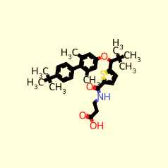 Cc1cc(OC(c2ccc(C(=O)NCCC(=O)O)s2)C(C)(C)C)cc(C)c1-c1ccc(C(C)(C)C)cc1